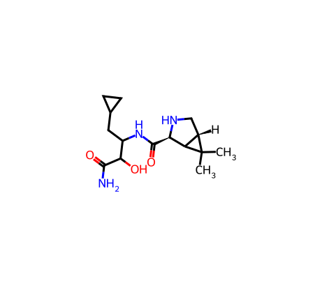 CC1(C)C2[C@@H](C(=O)NC(CC3CC3)C(O)C(N)=O)NC[C@@H]21